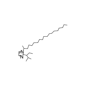 CCCCCCCCCCCCCCCCCC(C)n1ccnc1C(CC)C(C)C